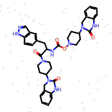 O=C(NC(Cc1ccc2[nH]ncc2c1)C(=O)N1CCC(N2Cc3ccccc3NC2=O)CC1)ON1CCC(N2Cc3ccccc3NC2=O)CC1